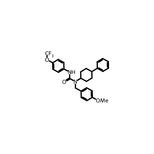 COc1ccc(CN(C(=O)Nc2ccc(OC(F)(F)F)cc2)C2CCC(c3ccccc3)CC2)cc1